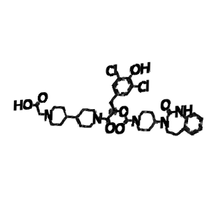 O=C(O)CN1CCC(C2CCN(C(=O)[C@@H](Cc3cc(Cl)c(O)c(Cl)c3)OC(=O)N3CCC(N4CCc5ccccc5NC4=O)CC3)CC2)CC1